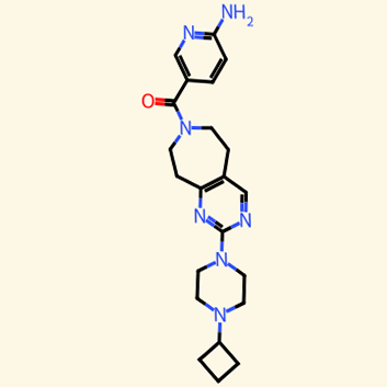 Nc1ccc(C(=O)N2CCc3cnc(N4CCN(C5CCC5)CC4)nc3CC2)cn1